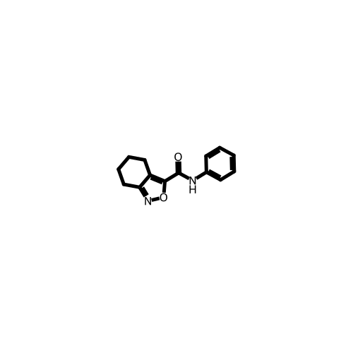 O=C(Nc1ccccc1)c1onc2c1CCCC2